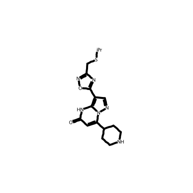 CC(C)SCc1noc(-c2cnn3c(C4CCNCC4)cc(=O)[nH]c23)n1